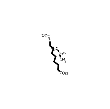 O=C([O-])CCCCCCCCC(=O)[O-].[CH3][Sn+2][CH3]